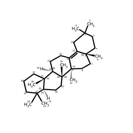 CC1(C)CC[C@]2(C)CC[C@]3(C)C(=C2C1)CC[C@@H]1[C@@]2(C)CCCC(C)(C)[C@@H]2CC[C@]13C